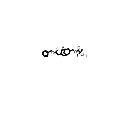 CC(F)(F)C(=O)OCC1CC2CC(CC(=O)OCc3ccccc3)C[C@H](C1)C2